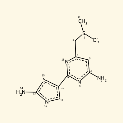 C[S+]([O-])Cc1cc(N)nc(-c2cnc(N)s2)n1